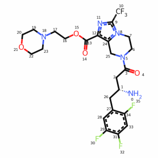 N[C@@H](CC(=O)N1CCn2c(C(F)(F)F)nc(C(=O)OCCN3CCOCC3)c2C1)Cc1cc(F)c(F)cc1F